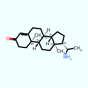 CC(N)[C@H]1CC[C@H]2[C@@H]3CCC4=CC(=O)CC[C@]4(C)[C@H]3CC[C@]12C